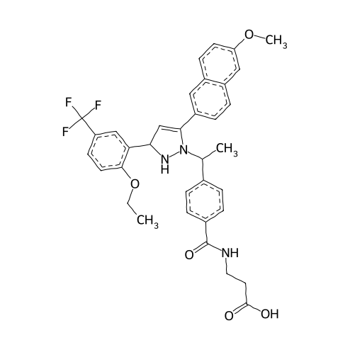 CCOc1ccc(C(F)(F)F)cc1C1C=C(c2ccc3cc(OC)ccc3c2)N(C(C)c2ccc(C(=O)NCCC(=O)O)cc2)N1